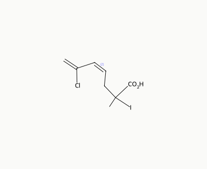 C=C(Cl)/C=C\CC(C)(I)C(=O)O